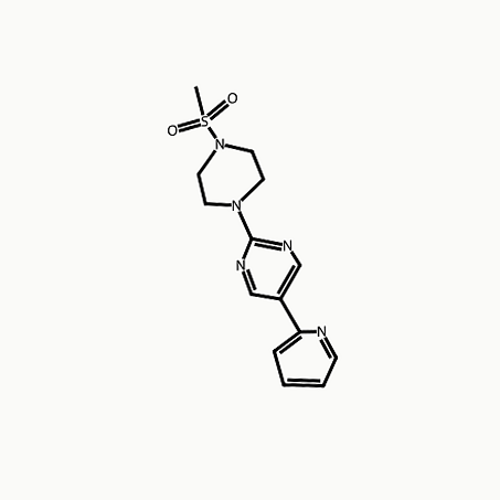 CS(=O)(=O)N1CCN(c2ncc(-c3ccccn3)cn2)CC1